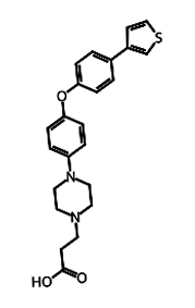 O=C(O)CCN1CCN(c2ccc(Oc3ccc(-c4ccsc4)cc3)cc2)CC1